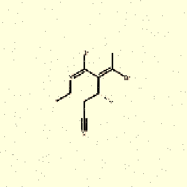 CC/N=C(Br)\C(=C(/C)Br)[C@H](C)CC#N